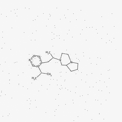 CC(C)c1cnccc1CC(C)N1CCN2CCCC2C1